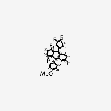 COc1ccc(-c2c3cc(F)ccc3c(-c3ccc(F)c(F)c3)c3c(F)ccc(F)c23)cc1